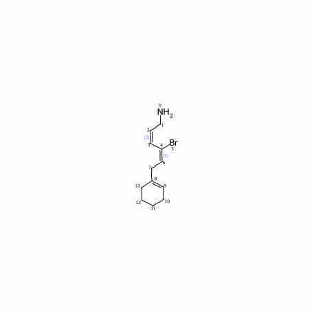 NC/C=C\C(Br)=C/CC1=CCCCC1